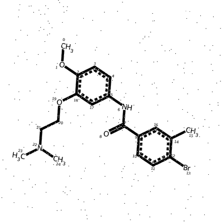 COc1ccc(NC(=O)c2ccc(Br)c(C)c2)cc1OCCN(C)C